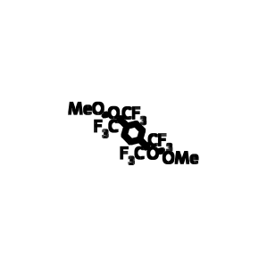 COCOC(C1CCC(C(OCOC)(C(F)(F)F)C(F)(F)F)CC1)(C(F)(F)F)C(F)(F)F